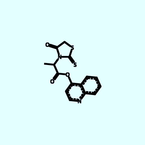 CC(C(=O)Oc1ccnc2ccccc12)N1C(=O)CSC1=S